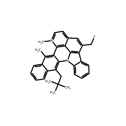 Cc1c2ccccc2c(CC(C)(C)C)c2c1c1c3c(cc[n+]1C)cc(CF)c1c4ccccc4n2c13